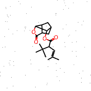 CC(C)=CC(C(=O)OC1C2CC3C(=O)OC1C3C2)C(C)(C)C